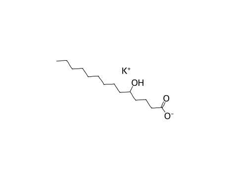 CCCCCCCCCC(O)CCCC(=O)[O-].[K+]